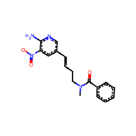 CN(CC/C=C/c1cnc(N)c([N+](=O)[O-])c1)C(=O)c1ccccc1